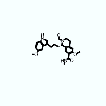 CNC(=O)c1cc2c(cc1OC)CCN(C=O)[C@H]2CCCc1c[nH]c2ccc(OC)cc12